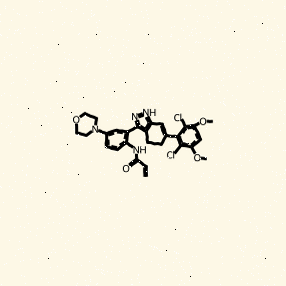 C=CC(=O)Nc1ccc(N2CCOCC2)cc1-c1n[nH]c2c1CCC(c1c(Cl)c(OC)cc(OC)c1Cl)=C2